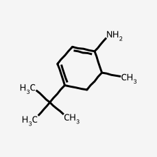 CC1CC(C(C)(C)C)=CC=C1N